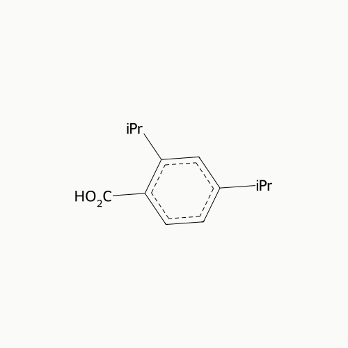 CC(C)c1ccc(C(=O)O)c(C(C)C)c1